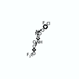 O=C(CO[C@H]1C[C@H](OC(F)(F)F)C1)NC1CN(c2nnc(COc3ccc(Cl)c(F)c3)o2)C1